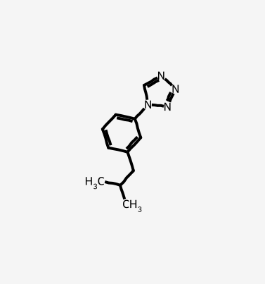 CC(C)Cc1cccc(-n2cnnn2)c1